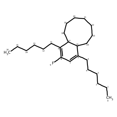 CCCCCCC1=CC(F)=C(CCCCCC)C2CCCCCCCC12